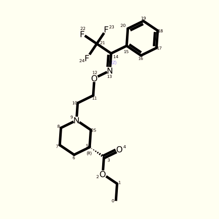 CCOC(=O)[C@@H]1CCCN(CCO/N=C(/c2ccccc2)C(F)(F)F)C1